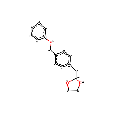 [c]1cccc(OCc2ccc(CC3OCCO3)cc2)c1